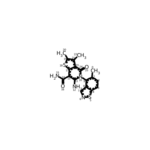 Cc1ccc2sncc2c1-n1c(N)c(C(N)=O)c2sc(C)c(C)c2c1=O